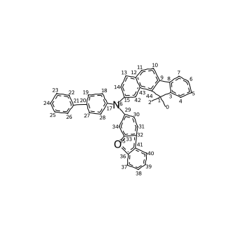 CC1(C)c2ccccc2-c2ccc3ccc(N(c4ccc(-c5ccccc5)cc4)c4ccc5c(c4)oc4ccccc45)cc3c21